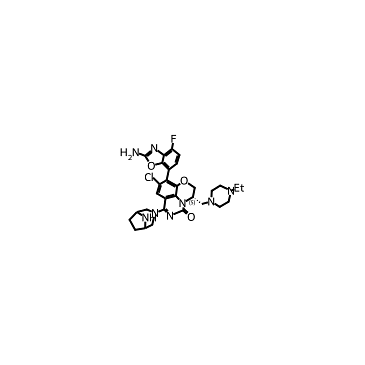 CCN1CCN(C[C@H]2COc3c(-c4ccc(F)c5nc(N)oc45)c(Cl)cc4c(N5CC6CCC(C5)N6)nc(=O)n2c34)CC1